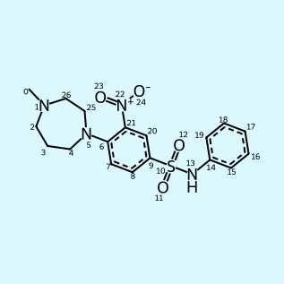 CN1CCCN(c2ccc(S(=O)(=O)Nc3ccccc3)cc2[N+](=O)[O-])CC1